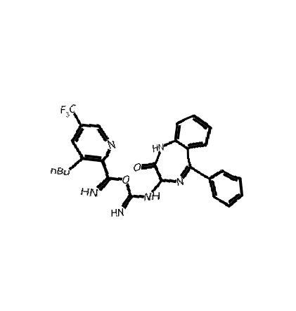 CCCCc1cc(C(F)(F)F)cnc1C(=N)OC(=N)NC1N=C(c2ccccc2)c2ccccc2NC1=O